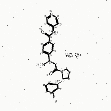 Cl.Cl.N[C@H](CC(=O)N1CCC[C@@H]1c1cccc(F)c1)c1ccc(C(=O)Nc2ccncc2)cc1